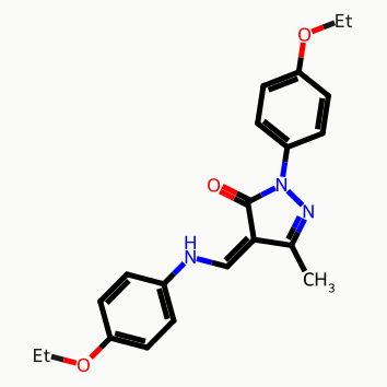 CCOc1ccc(NC=C2C(=O)N(c3ccc(OCC)cc3)N=C2C)cc1